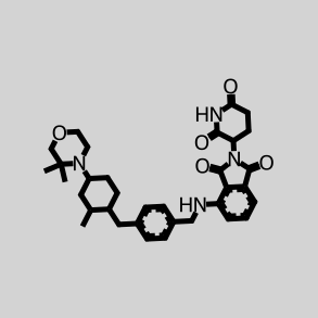 CC1CC(N2CCOCC2(C)C)CCC1Cc1ccc(CNc2cccc3c2C(=O)N(C2CCC(=O)NC2=O)C3=O)cc1